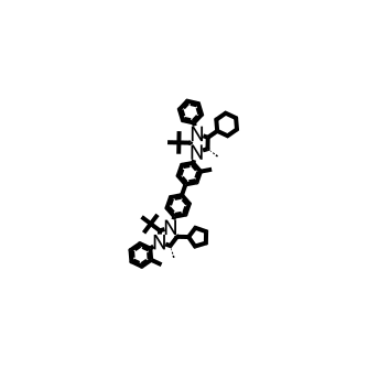 Cc1cc(-c2ccc(N3C(C4CCCC4)[C@H](C)N(c4ccccc4C)C3C(C)(C)C)cc2)ccc1N1C(C(C)(C)C)N(c2ccccc2)C(C2CCCCC2)[C@@H]1C